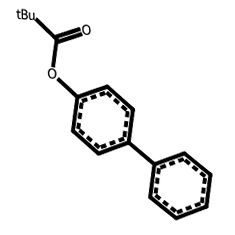 CC(C)(C)C(=O)Oc1ccc(-c2ccccc2)cc1